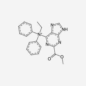 CC[N+](c1ccccc1)(c1ccccc1)c1nc(C(=O)OC)nc2[nH]cnc12